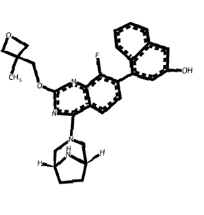 CC1(COc2nc(N3C[C@H]4CC[C@@H](C3)N4)c3ccc(-c4cc(O)cc5ccccc45)c(F)c3n2)COC1